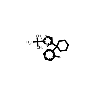 CC(C)(C)c1nc(C2(c3ccccc3F)CCCCC2)cs1